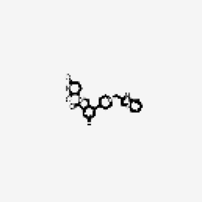 O=C1CCC(N2Cc3c(cc(F)cc3C3CCN(Cc4cn5ccccc5n4)CC3)C2=O)C(=O)N1